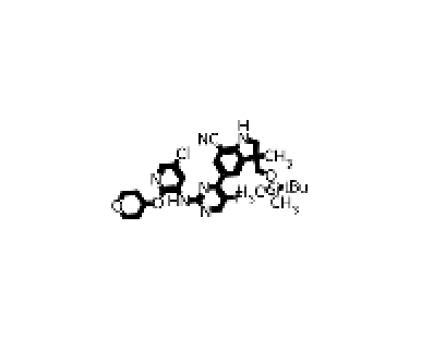 CC1(CO[Si](C)(C)C(C)(C)C)CNc2c(C#N)cc(-c3nc(Nc4cc(Cl)cnc4OC4CCOCC4)ncc3F)cc21